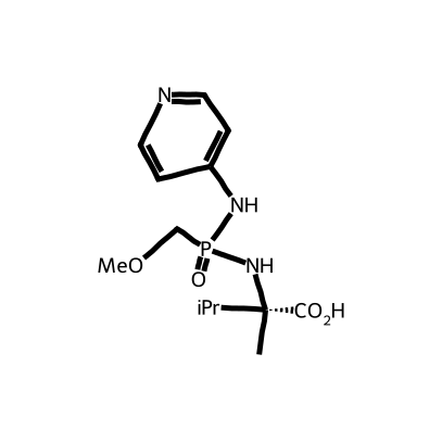 COCP(=O)(Nc1ccncc1)N[C@](C)(C(=O)O)C(C)C